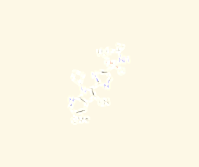 COc1cnc2c(c1)c(C#N)c(-c1ncc(S(=O)(=O)NC3(C)CC3)cn1)n2C1CCC1